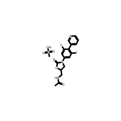 CC(=O)NCC1CN(c2cc(F)c(-c3cccnc3)c(F)c2)C(=O)O1.CS(=O)(=O)O